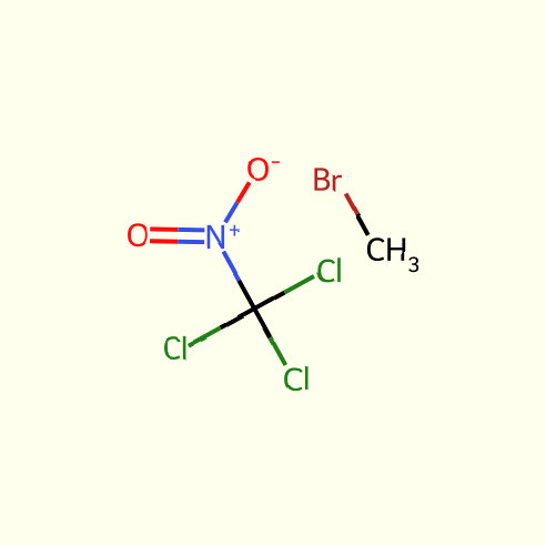 CBr.O=[N+]([O-])C(Cl)(Cl)Cl